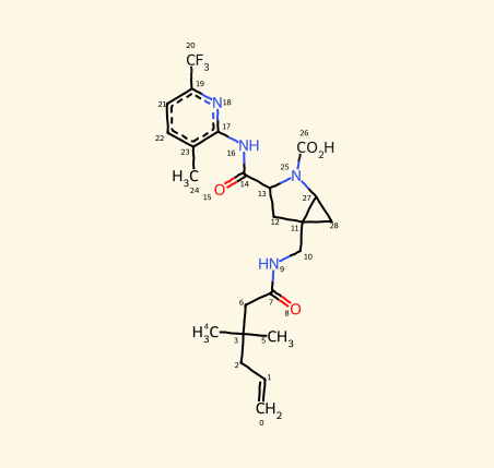 C=CCC(C)(C)CC(=O)NCC12CC(C(=O)Nc3nc(C(F)(F)F)ccc3C)N(C(=O)O)C1C2